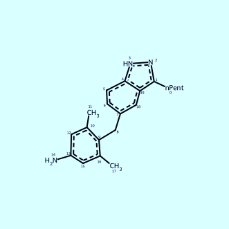 CCCCCc1n[nH]c2ccc(Cc3c(C)cc(N)cc3C)cc12